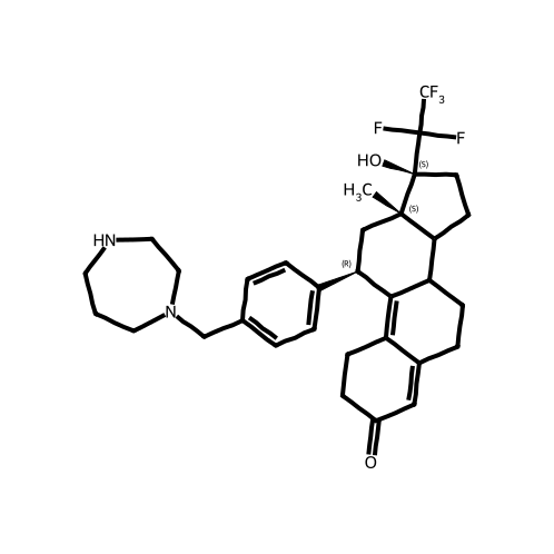 C[C@]12C[C@H](c3ccc(CN4CCCNCC4)cc3)C3=C4CCC(=O)C=C4CCC3C1CC[C@@]2(O)C(F)(F)C(F)(F)F